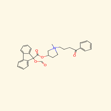 C[N+]1(CCCC(=O)c2ccccc2)CCC(OC(=O)C2(OC=O)c3ccccc3-c3ccccc32)C1